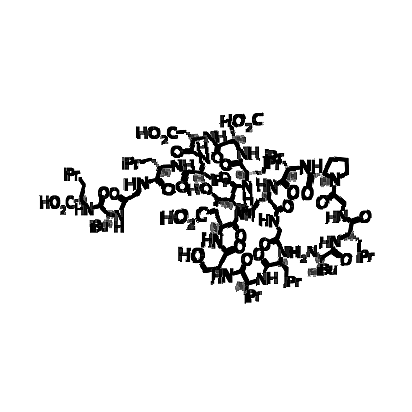 CC[C@H](C)[C@H](N)C(=O)N[C@@H](CC(C)C)C(=O)NCC(=O)N1CCC[C@H]1C(=O)N[C@H](C(=O)N[C@@H](CC(C)C)C(=O)NCC(=O)N[C@@H](CC(C)C)C(=O)N[C@H](C(=O)N[C@@H](CO)C(=O)N[C@@H](CC(=O)O)C(=O)N[C@H](C(=O)N[C@@H](CC(C)C)C(=O)N[C@@H](CC(=O)O)C(=O)N[C@@H](CC(=O)O)C(=O)N[C@H](C(=O)N[C@@H](CC(C)C)C(=O)NCC(=O)N[C@H](C(=O)N[C@@H](CC(C)C)C(=O)O)[C@@H](C)CC)C(C)C)[C@@H](C)O)C(C)C)C(C)C